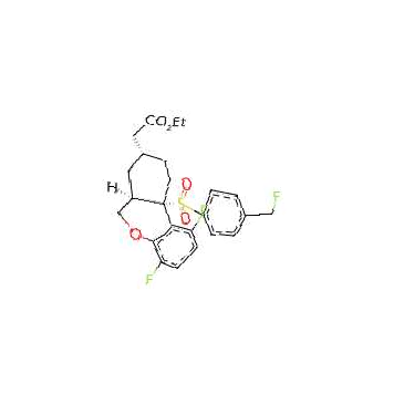 CCOC(=O)C[C@@H]1CC[C@@]2(S(=O)(=O)c3ccc(CF)cc3)c3c(F)ccc(F)c3OC[C@H]2C1